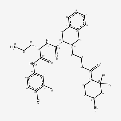 CCN1CCN(C(=O)CCCN2Cc3ccccc3C[C@H]2C(=O)N[C@@H](CCN)C(=O)Nc2ccc(Cl)c(C)c2)C(C)(C)C1